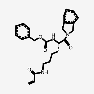 C=CC(=O)NCCCC[C@H](NC(=O)OCc1ccccc1)C(=O)N1Cc2ccccc2C1